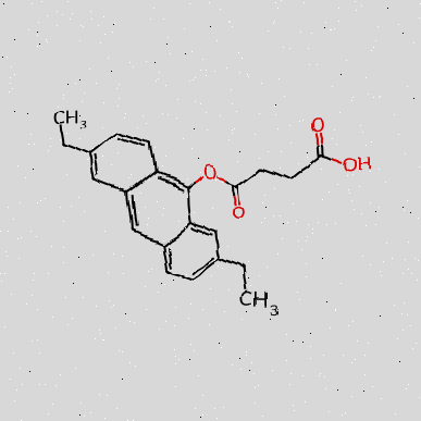 CCc1ccc2c(OC(=O)CCC(=O)O)c3cc(CC)ccc3cc2c1